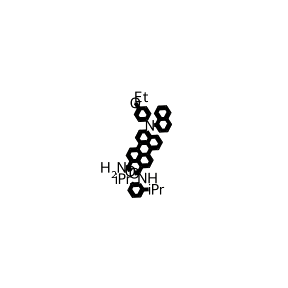 CCOc1ccc(N(c2cccc3ccccc23)c2ccc3c4ccc(C(N)=O)c5c(C(=O)Nc6c(C(C)C)cccc6C(C)C)ccc(c6cccc2c36)c54)cc1